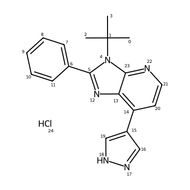 CC(C)(C)n1c(-c2ccccc2)nc2c(-c3cn[nH]c3)ccnc21.Cl